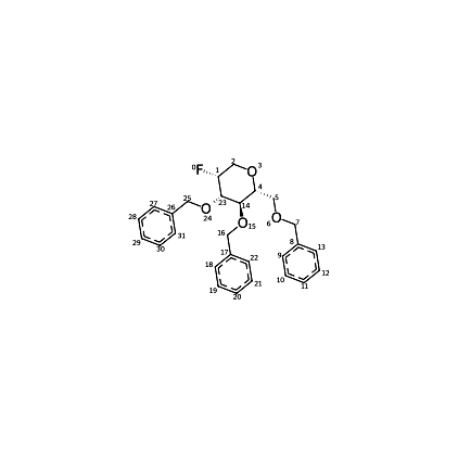 F[C@@H]1CO[C@H](COCc2ccccc2)[C@@H](OCc2ccccc2)[C@@H]1OCc1ccccc1